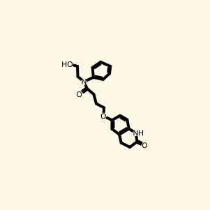 O=C1CCc2cc(OCCCC(=O)N(CCO)c3ccccc3)ccc2N1